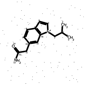 CC(C)Cn1ccc2ccc(CC(N)=O)cc21